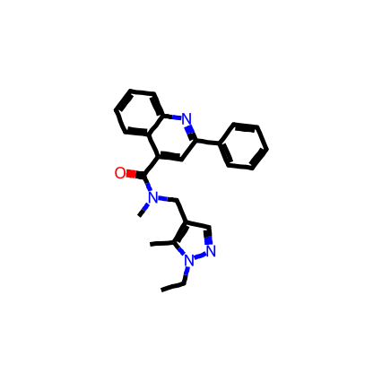 CCn1ncc(CN(C)C(=O)c2cc(-c3ccccc3)nc3ccccc23)c1C